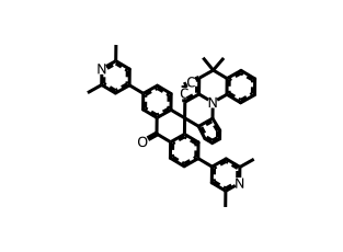 Cc1cc(-c2ccc3c(c2)C(=O)c2ccc(-c4cc(C)nc(C)c4)cc2C32c3ccccc3N3c4ccccc4C(C)(C)c4cccc2c43)cc(C)n1